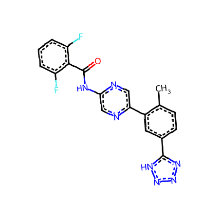 Cc1ccc(-c2nnn[nH]2)cc1-c1cnc(NC(=O)c2c(F)cccc2F)cn1